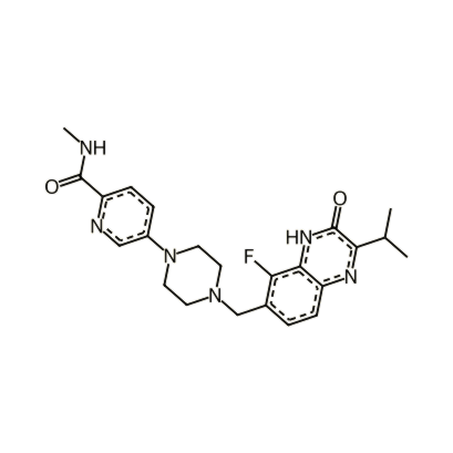 CNC(=O)c1ccc(N2CCN(Cc3ccc4nc(C(C)C)c(=O)[nH]c4c3F)CC2)cn1